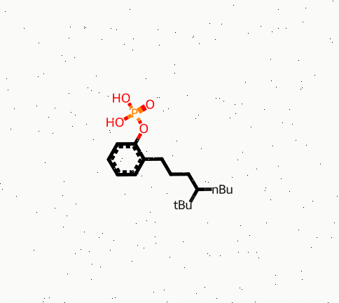 CCCCC(CCCc1ccccc1OP(=O)(O)O)C(C)(C)C